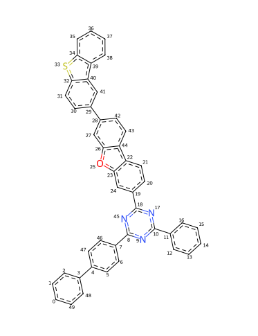 c1ccc(-c2ccc(-c3nc(-c4ccccc4)nc(-c4ccc5c(c4)oc4cc(-c6ccc7sc8ccccc8c7c6)ccc45)n3)cc2)cc1